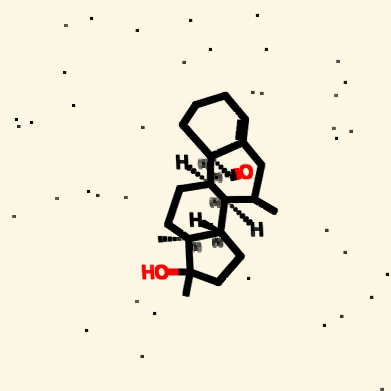 CC1CC2=CCCC[C@]2(C=O)[C@@H]2CC[C@@]3(C)[C@@H](CCC3(C)O)[C@H]12